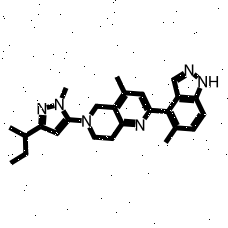 CCC(C)c1cc(N2CCc3nc(-c4c(C)ccc5[nH]ncc45)cc(C)c3C2)n(C)n1